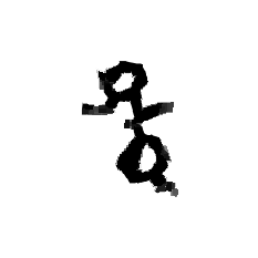 COc1ncccc1C(=N)Nc1ccc(C(F)(F)F)nc1